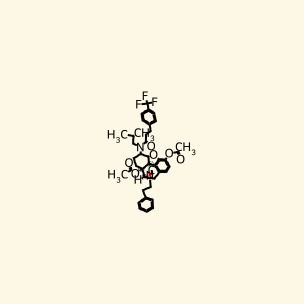 CC(=O)Oc1ccc2c3c1OC1C(N(CC(C)C)C(=O)CCc4ccc(C(F)(F)F)cc4)CC[C@@]4(OC(C)=O)[C@@H](C2)N(CCc2ccccc2)CC[C@]314